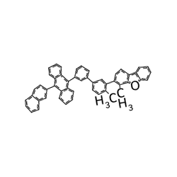 Cc1ccc(-c2cccc(-c3c4ccccc4c(-c4ccc5ccccc5c4)c4ccccc34)c2)cc1-c1ccc2c(oc3ccccc32)c1C